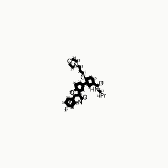 CNC(=O)C1c2cc(-c3cc(C(=O)NCC(C)C)ccc3OCCCN3CCOCC3)ccc2OC1c1ccc(F)cc1